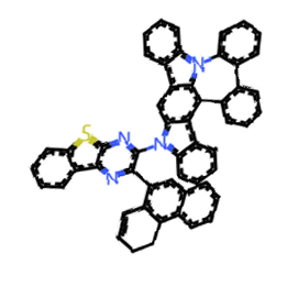 C1=Cc2c(-c3nc4c(nc3-n3c5ccccc5c5c6c7c(cc53)c3ccccc3n7-c3ccccc3-c3ccccc3-6)sc3ccccc34)cc3ccccc3c2CC1